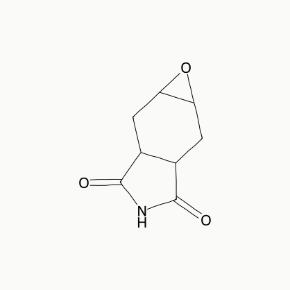 O=C1NC(=O)C2CC3OC3CC12